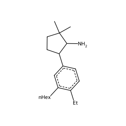 CCCCCCc1cc(C2CCC(C)(C)C2N)ccc1CC